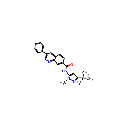 Cn1nc(C(C)(C)C)cc1NC(=O)c1ccc2cc(-c3ccccc3)cnc2c1